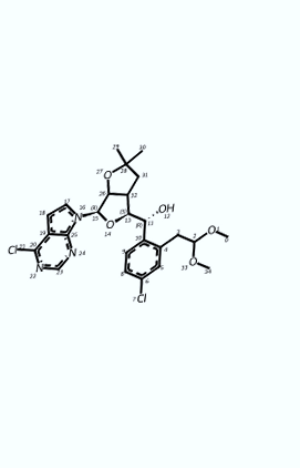 COC(Cc1cc(Cl)ccc1[C@@H](O)[C@H]1O[C@@H](n2ccc3c(Cl)ncnc32)C2OC(C)(C)CC21)OC